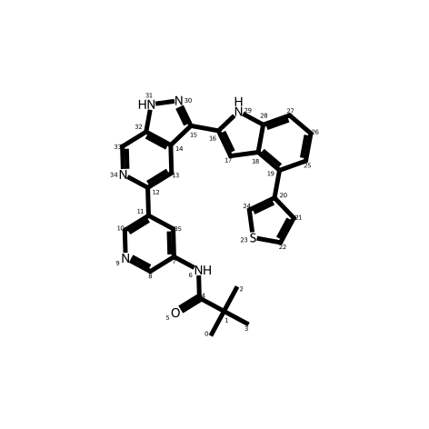 CC(C)(C)C(=O)Nc1cncc(-c2cc3c(-c4cc5c(-c6ccsc6)cccc5[nH]4)n[nH]c3cn2)c1